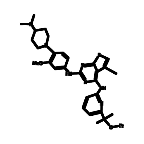 CCOC(C)(C)c1cccc(Nc2nc(Nc3ccc(N4CCC(N(C)C)CC4)c(OC)c3)nc3scc(C)c23)n1